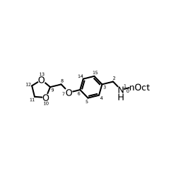 CCCCCCCCNCc1ccc(OCC2OCCO2)cc1